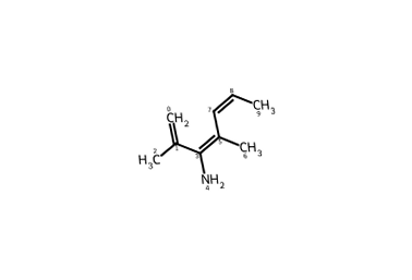 C=C(C)/C(N)=C(C)\C=C/C